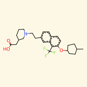 CC1CCC(Oc2ccc3ccc(CCN4CCCC(CC(=O)O)C4)cc3c2C(F)(F)F)CC1